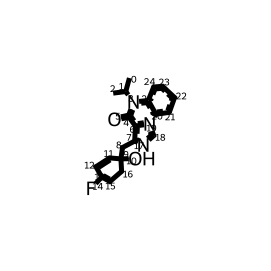 CC(C)n1c(=O)c2c(CC3(O)C=CC(F)=CC3)ncn2c2ccccc21